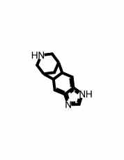 C1=c2nc[nH]c2=CC2C3CNCC(C3)C12